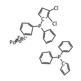 Clc1cc[c-](P(c2ccccc2)c2ccccc2)c1Cl.[Fe+2].[Pd+2].[Pd+2].c1ccc(P(c2ccccc2)[c-]2cccc2)cc1